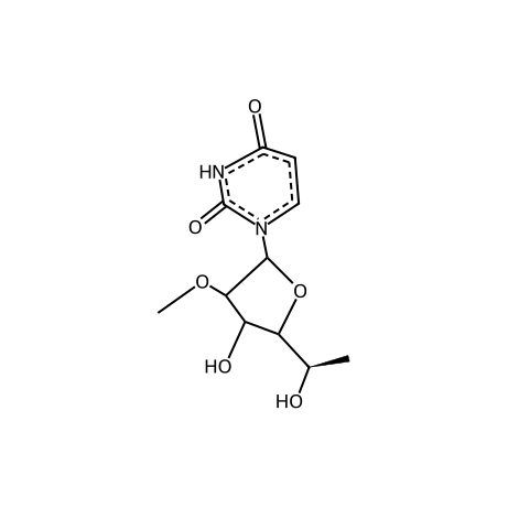 COC1C(O)C([C@@H](C)O)OC1n1ccc(=O)[nH]c1=O